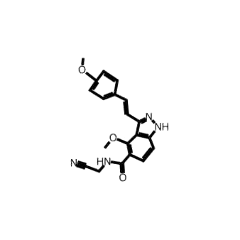 COc1ccc(C=Cc2n[nH]c3ccc(C(=O)NCC#N)c(OC)c23)cc1